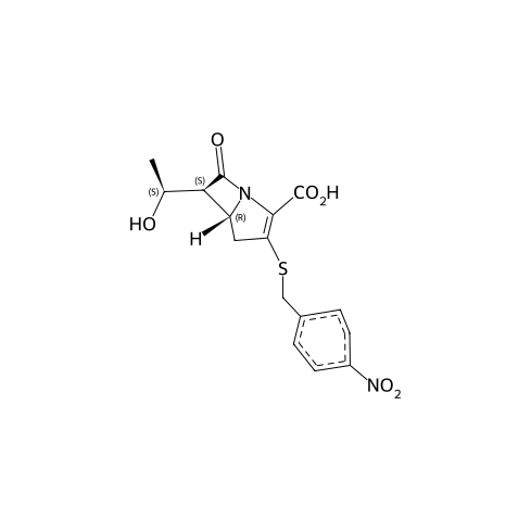 C[C@H](O)[C@H]1C(=O)N2C(C(=O)O)=C(SCc3ccc([N+](=O)[O-])cc3)C[C@H]12